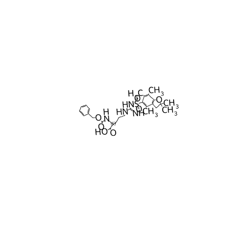 Cc1c(C)c(S(=O)(=O)NC(=N)NCCC[C@H](NC(=O)OCc2ccccc2)C(=O)O)c(C)c2c1OC(C)(C)C2